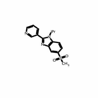 CC(C)n1c(-c2cccnc2)nc2cc(S(C)(=O)=O)ccc21